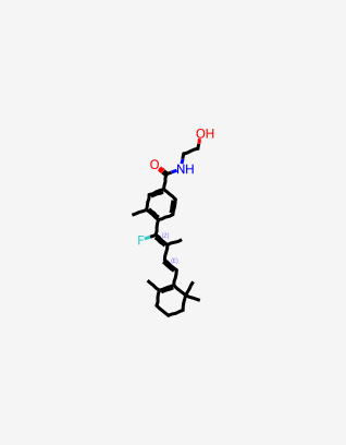 CC1=C(/C=C/C(C)=C(\F)c2ccc(C(=O)NCCO)cc2C)C(C)(C)CCC1